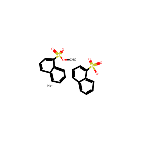 O=COS(=O)(=O)c1cccc2ccccc12.O=S(=O)([O-])c1cccc2ccccc12.[Na+]